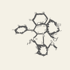 COc1cccc2c1N(c1c(Cl)cncc1Cl)C(C(c1ccccc1)C1CCCCC1)N2